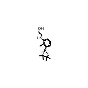 Cc1c(NCCO)cccc1B1OC(C)(C)C(C)(C)O1